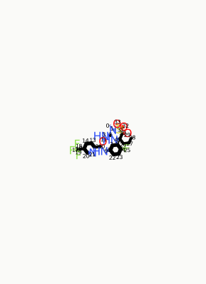 CN1C(=N)N[C@@]2(c3cc(NC(=O)c4ccc(C(F)(F)F)cn4)ccc3F)CCCOC2S1(=O)=O